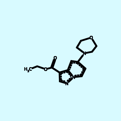 CCOC(=O)c1cnn2ccc(N3CCOCC3)cc12